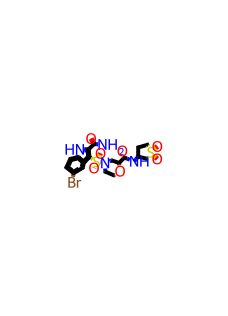 NC(=O)c1[nH]c2ccc(Br)cc2c1S(=O)(=O)N1CCOC(C(=O)NC2CCS(=O)(=O)C2)C1